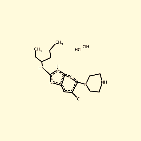 CCCC(CC)Nc1nc2cc(Cl)c(N3CCNCC3)cc2[nH]1.Cl.Cl